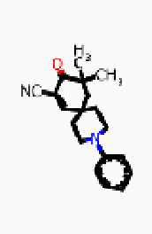 CC1(C)CC2(C=C(C#N)C1=O)CCN(c1ccccc1)CC2